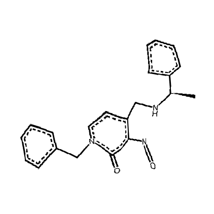 C[C@@H](NCc1ccn(Cc2ccccc2)c(=O)c1N=O)c1ccccc1